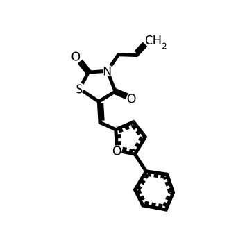 C=CCN1C(=O)SC(=Cc2ccc(-c3ccccc3)o2)C1=O